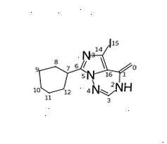 C=C1NC=Nn2c(C3CCCCC3)nc(I)c21